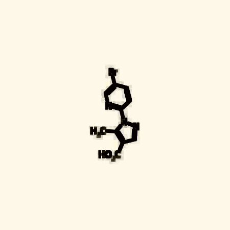 Cc1c(C(=O)O)cnn1-c1ccc(Br)cn1